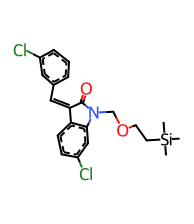 C[Si](C)(C)CCOCN1C(=O)C(=Cc2cccc(Cl)c2)c2ccc(Cl)cc21